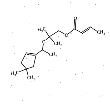 CC=CC(=O)OCC(C)(C)OC(C)C1=CCC(C)(C)C1